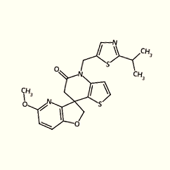 COc1ccc2c(n1)C1(CO2)CC(=O)N(Cc2cnc(C(C)C)s2)c2ccsc21